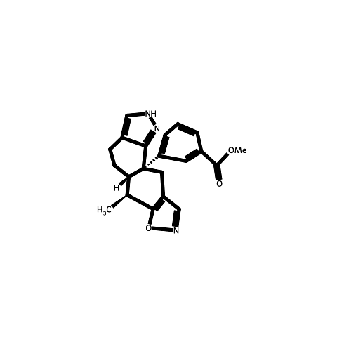 COC(=O)c1cccc([C@]23Cc4cnoc4[C@@H](C)[C@@H]2CCc2c[nH]nc23)c1